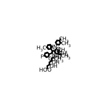 [2H]C([2H])(C)C([2H])(c1c(C(=O)Nc2ccc(C)c(C)c2)c(-c2cccc(C)c2)c(-c2ccc(F)cc2C)n1C(C)C[C@@H](O)C[C@@H](O)CC(=O)O)C([2H])(C)C